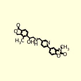 Cc1c(C(O)CNCc2ccc(-c3ccc4oc(=O)n(C)c4c3)nc2)ccc2c1COC2=O